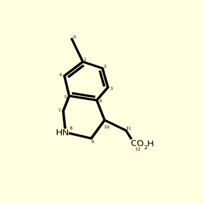 Cc1ccc2c(c1)CNCC2CC(=O)O